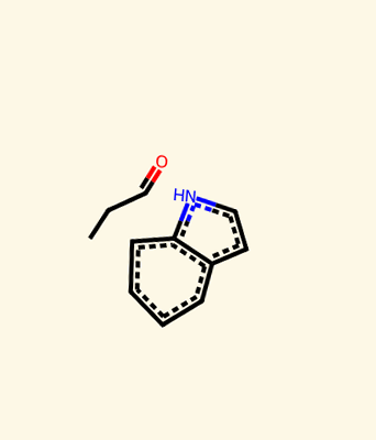 CCC=O.c1ccc2[nH]ccc2c1